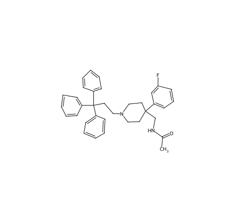 CC(=O)NCC1(c2cccc(F)c2)CCN(CCC(c2ccccc2)(c2ccccc2)c2ccccc2)CC1